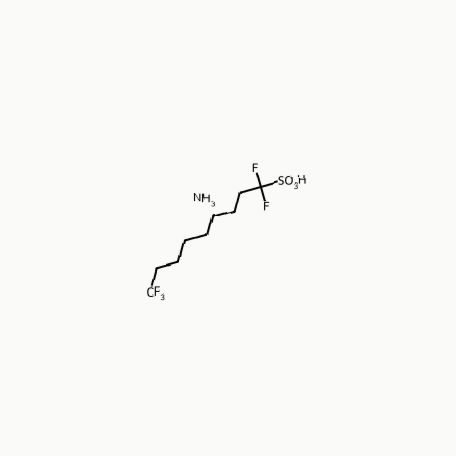 N.O=S(=O)(O)C(F)(F)CCCCCCCC(F)(F)F